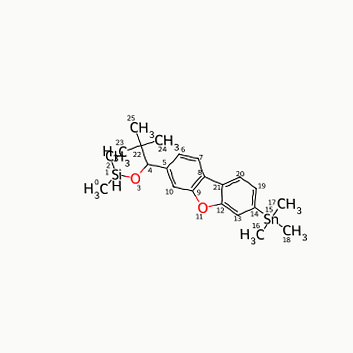 C[SiH](C)OC(c1ccc2c(c1)oc1c[c]([Sn]([CH3])([CH3])[CH3])ccc12)C(C)(C)C